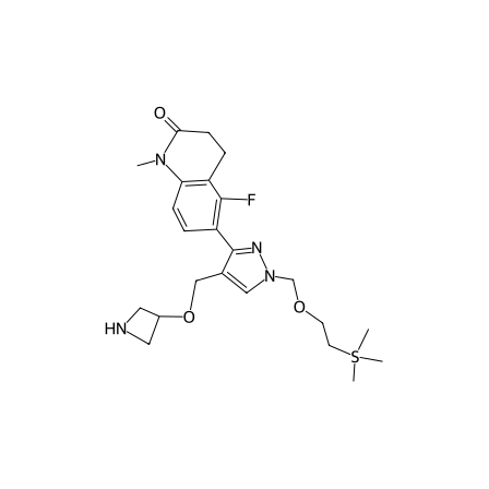 CN1C(=O)CCc2c1ccc(-c1nn(COCCS(C)(C)C)cc1COC1CNC1)c2F